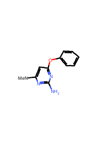 CNc1cc(Oc2ccccc2)nc(N)n1